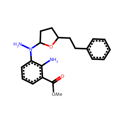 COC(=O)c1cccc(N(N)C2CCC(CCc3ccccc3)O2)c1N